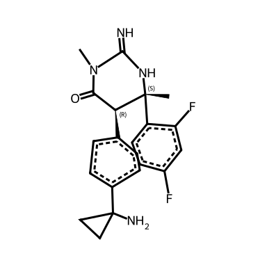 CN1C(=N)N[C@](C)(c2ccc(F)cc2F)[C@@H](c2ccc(C3(N)CC3)cc2)C1=O